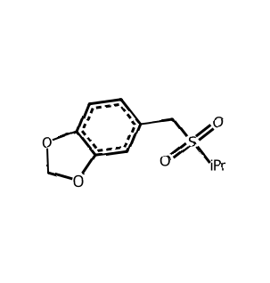 CC(C)S(=O)(=O)Cc1ccc2c(c1)OCO2